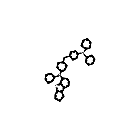 c1ccc(N(c2ccccc2)c2ccc(Cc3ccc(N(c4ccccc4)c4cccc5c4sc4ccccc45)cc3)cc2)cc1